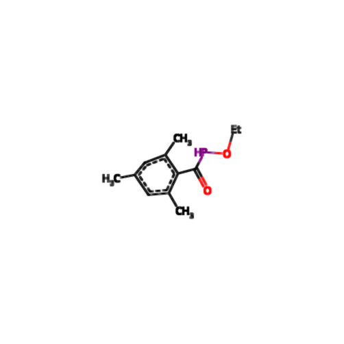 CCOPC(=O)c1c(C)cc(C)cc1C